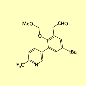 COCOc1c(CC=O)cc(C(C)(C)C)cc1-c1ccc(C(F)(F)F)nc1